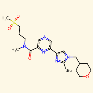 CN(CCCS(C)(=O)=O)C(=O)c1cncc(-c2cn(CC3CCOCC3)c(C(C)(C)C)n2)n1